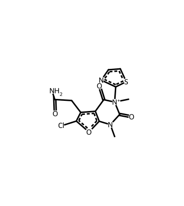 CN1C(=O)[N+](C)(c2nccs2)C(=O)c2c1oc(Cl)c2CC(N)=O